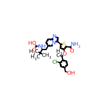 C[C@@H](Oc1cc(-c2cnc3ccc(CC(NC(=O)O)C(C)(C)C)cn23)sc1C(N)=O)c1ccc(CO)cc1Cl